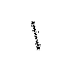 CC(C)(C)OC(=O)CCCC(=O)NCCOCCOCCNC(=O)OC(C)(C)C